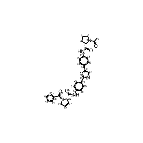 CC(=O)N1CCC[C@H]1C(=O)Nc1ccc(-c2cnc(-c3ccc(NC(=O)[C@@H]4C=CCN4C(=O)c4cccs4)cc3)o2)cc1